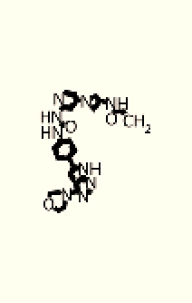 C=CC(=O)NC1CN(c2ccnc(NC(=O)Nc3ccc(-c4cc5c(N6CCOCC6)ncnc5[nH]4)cc3)c2)C1